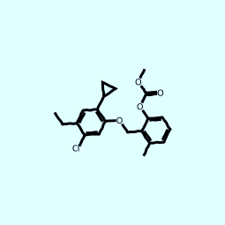 CCc1cc(C2CC2)c(OCc2c(C)cccc2OC(=O)OC)cc1Cl